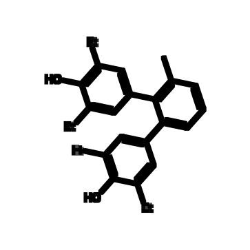 CCc1cc(-c2cccc(C)c2-c2cc(CC)c(O)c(CC)c2)cc(CC)c1O